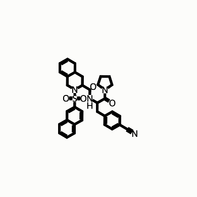 N#Cc1ccc(CC(NC(=O)C2CC3CC=CC=C3CN2S(=O)(=O)c2ccc3ccccc3c2)C(=O)N2CCCC2)cc1